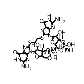 Nc1nc2c(nc(SCCSc3nc4c(=O)[nH]c(N)nc4n3[C@@H]3OC4CO[PH](O)(O)O[C@H]4C3O)n2[C@@H]2OC3CO[PH](O)(O)O[C@H]3C2O)c(=O)[nH]1